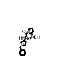 O=C(CN[C@@H]1CCN(Cc2ccccc2)C1)N1CCC[C@H]1B(O)O